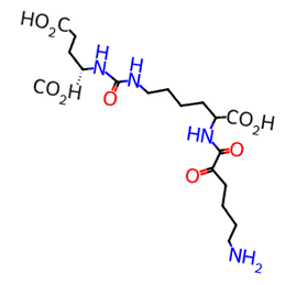 NCCCCC(=O)C(=O)NC(CCCCNC(=O)N[C@@H](CCC(=O)O)C(=O)O)C(=O)O